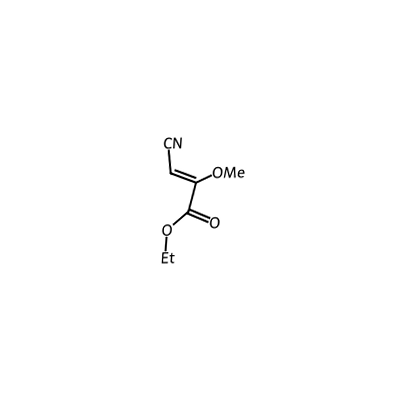 CCOC(=O)/C(=C/C#N)OC